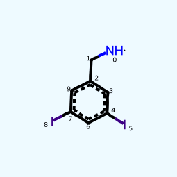 [NH]Cc1cc(I)cc(I)c1